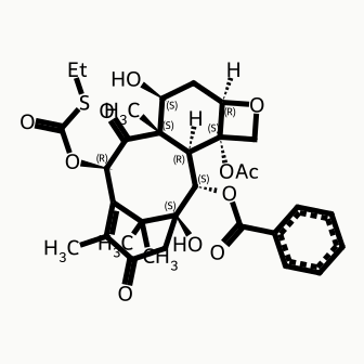 CCSC(=O)O[C@H]1C(=O)[C@@]2(C)[C@H]([C@H](OC(=O)c3ccccc3)[C@]3(O)CC(=O)C(C)=C1C3(C)C)[C@]1(OC(C)=O)CO[C@@H]1C[C@@H]2O